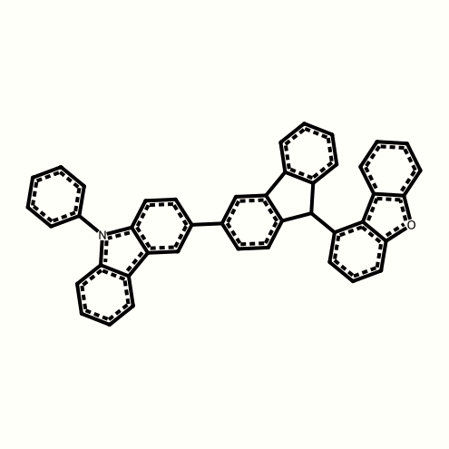 c1ccc(-n2c3ccccc3c3cc(-c4ccc5c(c4)-c4ccccc4C5c4cccc5oc6ccccc6c45)ccc32)cc1